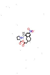 Cc1cc([N+](=O)[O-])cc2c1CC(CC(=O)OC(=O)[C@@H]1CCCN1)CC2